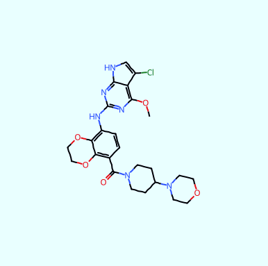 COc1nc(Nc2ccc(C(=O)N3CCC(N4CCOCC4)CC3)c3c2OCCO3)nc2[nH]cc(Cl)c12